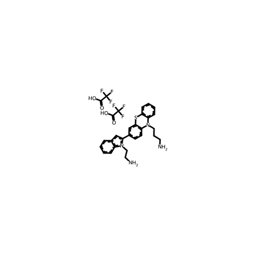 NCCCN1c2ccccc2Sc2cc(-c3cc4ccccc4n3CCN)ccc21.O=C(O)C(F)(F)F.O=C(O)C(F)(F)F